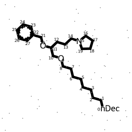 CCCCCCCCCCCCCCCCCCOCC(C[CH]CN1CCCC1)OCc1ccccc1